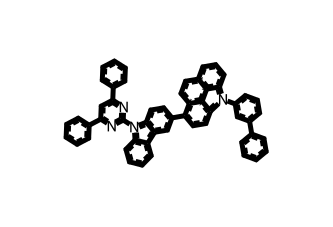 c1ccc(-c2cccc(-n3c4cccc5ccc6c(-c7ccc8c(c7)c7ccccc7n8-c7nc(-c8ccccc8)cc(-c8ccccc8)n7)ccc3c6c54)c2)cc1